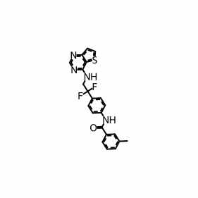 Cc1cccc(C(=O)Nc2ccc(C(F)(F)CNc3ncnc4ccsc34)cc2)c1